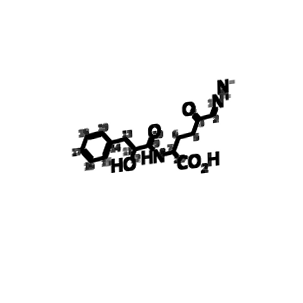 [N-]=[N+]=CC(=O)CCC(NC(=O)C(O)Cc1ccccc1)C(=O)O